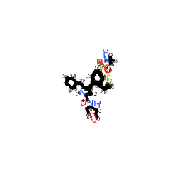 Cn1c(C(=O)NC2CCOCC2)cc(-c2ccc(S(=O)(=O)NC(C)(C)C)c3sccc23)c1CC1CCCCC1